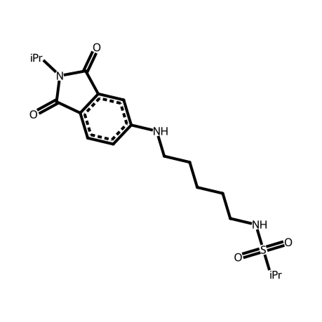 CC(C)N1C(=O)c2ccc(NCCCCCNS(=O)(=O)C(C)C)cc2C1=O